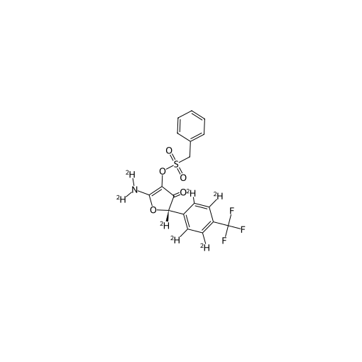 [2H]c1c([2H])c([C@]2([2H])OC(N([2H])[2H])=C(OS(=O)(=O)Cc3ccccc3)C2=O)c([2H])c([2H])c1C(F)(F)F